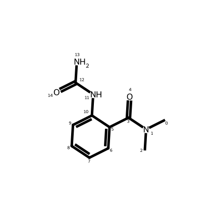 CN(C)C(=O)c1ccccc1NC(N)=O